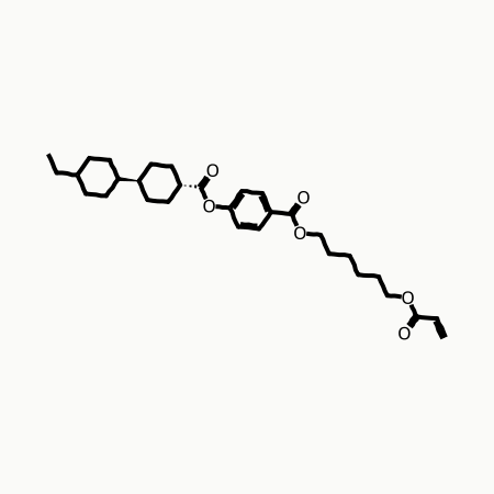 C=CC(=O)OCCCCCCOC(=O)c1ccc(OC(=O)[C@H]2CC[C@H](C3CCC(CC)CC3)CC2)cc1